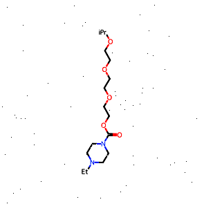 CCN1CCN(C(=O)OCCOCCOCCOC(C)C)CC1